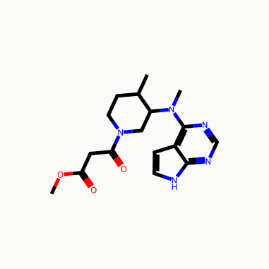 COC(=O)CC(=O)N1CCC(C)C(N(C)c2ncnc3[nH]ccc23)C1